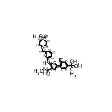 CNC(=O)c1cc(-c2ccc(C(C)(C)O)cc2F)sc1Nc1cccc(CN2CCP(C)(=O)CC2)n1